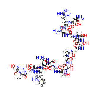 C[C@H](NC(=O)[C@@H](N)CO)C(=O)NCC(=O)N[C@@H](CO)C(=O)N[C@@H](Cc1c[nH]c2ccccc12)C(=O)N[C@@H](CC(N)=O)C(=O)N[C@@H](CO)C(=O)NCC(=O)N[C@@H](CO)C(=O)N[C@@H](CO)C(=O)NCC(=O)N1CCC[C@H]1C(=O)NCC(=O)N[C@@H](CO)C(=O)N[C@H](C(=O)NCC(=O)N[C@@H](CC(N)=O)C(=O)N[C@@H](CCCNC(=N)N)C(=O)N[C@@H](CC(N)=O)C(=O)O)[C@@H](C)O